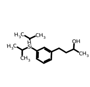 CC(O)CCc1cccc([SiH](C(C)C)C(C)C)c1